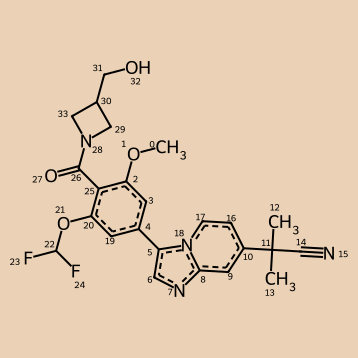 COc1cc(-c2cnc3cc(C(C)(C)C#N)ccn23)cc(OC(F)F)c1C(=O)N1CC(CO)C1